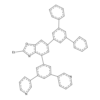 CCc1nc2c(-c3cc(-c4cccnc4)cc(-c4cccnc4)c3)cc(-c3cc(-c4ccccc4)cc(-c4ccccc4)c3)cc2o1